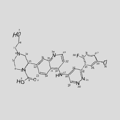 O=C(O)N1CCN(CCO)CC1c1ccc2c(Nc3cnnc(-c4cc(Cl)ccc4F)c3)ccnc2c1